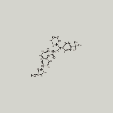 O=C(NCC(c1cnc(C(F)(F)F)nc1)N1CCOCC1)c1c(Cl)ccc2nc(N3CC[C@@H](O)C3)ccc12